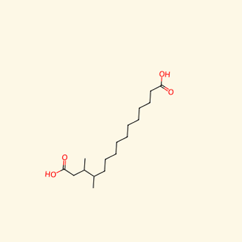 CC(CCCCCCCCCCC(=O)O)C(C)CC(=O)O